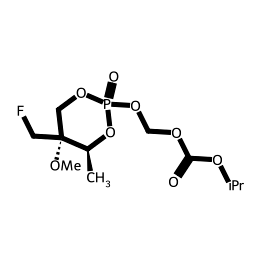 CO[C@]1(CF)COP(=O)(OCOC(=O)OC(C)C)O[C@H]1C